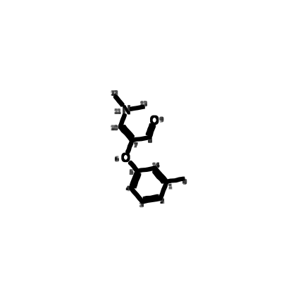 Cc1cccc(O/C(C=O)=C/N(C)C)c1